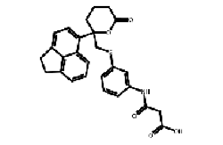 O=C(O)CC(=O)Nc1cccc(SCC2(c3ccc4c5c(cccc35)CC4)CCCC(=O)O2)c1